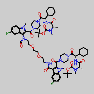 C[C@@H](C(=O)N[C@H](C(=O)N1CCN(C(=O)c2c(C(=O)NCCOCCOCCN(C=O)c3c(C(=O)N4CCN(C(=O)[C@@H](NC(=O)[C@H](C)N(C)C(=O)OC(C)(C)C)C5CCCCC5)CC4)n(C)c4ccc(F)cc34)c3cc(F)ccc3n2C)CC1)C1CCCCC1)N(C)C(=O)OC(C)(C)C